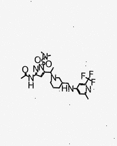 CC(=O)Nc1cc(C(C)N2CCCC(CNc3cc(C)nc(C(F)(F)F)c3)C2)n(S(=O)(=O)N(C)C)n1